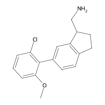 COc1cccc(Cl)c1-c1ccc2c(c1)C(CN)CC2